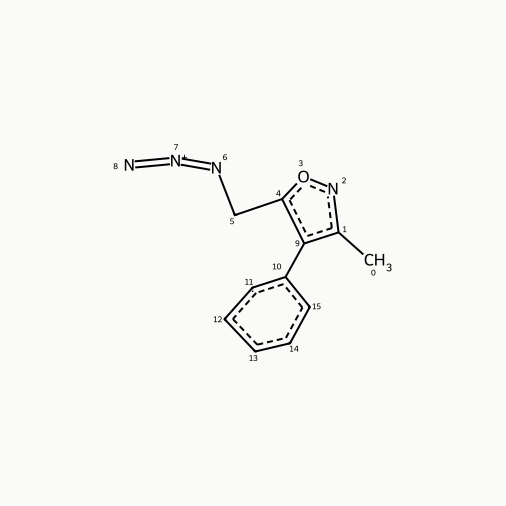 Cc1noc(CN=[N+]=[N-])c1-c1[c]cccc1